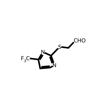 O=CCSc1nccc(C(F)(F)F)n1